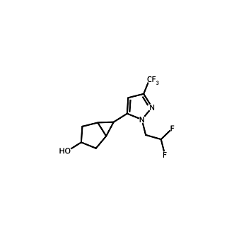 OC1CC2C(C1)C2c1cc(C(F)(F)F)nn1CC(F)F